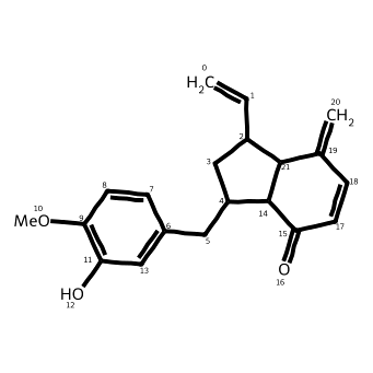 C=CC1CC(Cc2ccc(OC)c(O)c2)C2C(=O)C=CC(=C)C12